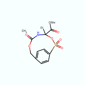 C.CCC1(C(=O)OC)NC(=O)OCc2ccc(cc2)S(=O)(=O)O1